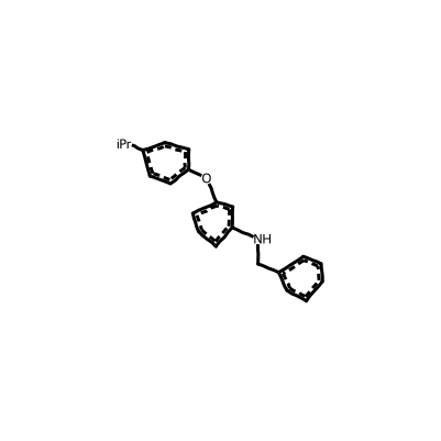 CC(C)c1ccc(Oc2cccc(NCc3ccccc3)c2)cc1